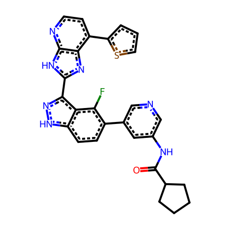 O=C(Nc1cncc(-c2ccc3[nH]nc(-c4nc5c(-c6cccs6)ccnc5[nH]4)c3c2F)c1)C1CCCC1